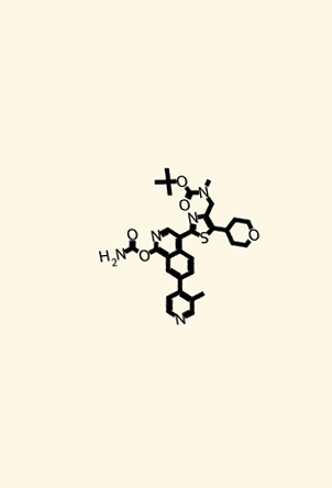 Cc1cnccc1-c1ccc2c(-c3nc(CN(C)C(=O)OC(C)(C)C)c(C4CCOCC4)s3)cnc(OC(N)=O)c2c1